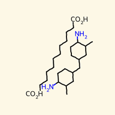 CC1CC(CC2CCC(N)C(C)C2)CCC1N.O=C(O)CCCCCCCCCCC(=O)O